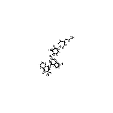 CN(c1ccccc1Nc1nc(Nc2ccc(N3CCN(CCO)CC3)c(F)c2F)nc2[nH]ccc12)S(C)(=O)=O